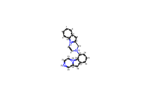 C1=Cn2c(cc3ccccc32)CN1c1cccc2cc3cnccn3c12